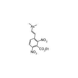 CCOC(=O)c1c([N+](=O)[O-])ccc(/C=C/[As](C)C)c1[N+](=O)[O-]